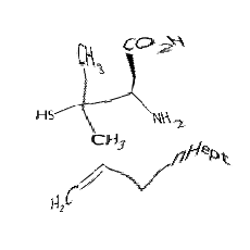 C=CCCCCCCCC.CC(C)(S)[C@H](N)C(=O)O